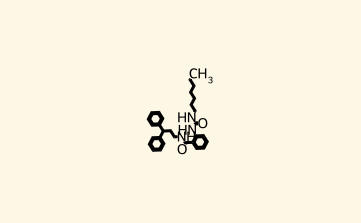 CCCCCCCNC(=O)Nc1ccccc1C(=O)NCCC(c1ccccc1)c1ccccc1